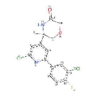 CC1(c2cc(Cl)nc(-c3ccc(F)c(Cl)c3)c2)COCC(=O)N1